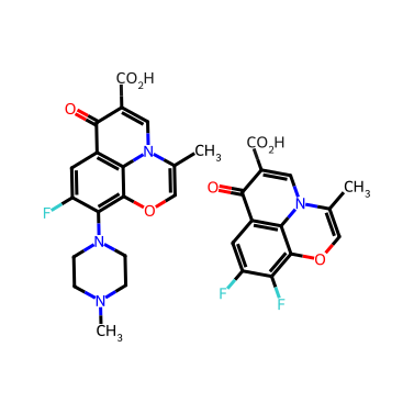 CC1=COc2c(F)c(F)cc3c(=O)c(C(=O)O)cn1c23.CC1=COc2c(N3CCN(C)CC3)c(F)cc3c(=O)c(C(=O)O)cn1c23